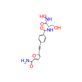 C[C@H](O)[C@H](NC(=O)c1ccc(C#Cc2ccc(C(N)=O)o2)cc1)C(=O)NO